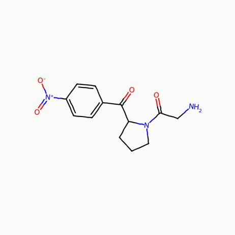 NCC(=O)N1CCCC1C(=O)c1ccc([N+](=O)[O-])cc1